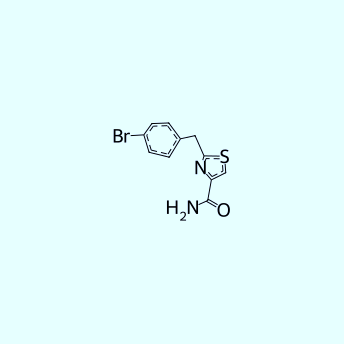 NC(=O)c1csc(Cc2ccc(Br)cc2)n1